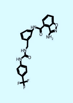 Nc1noc2cccc(C(=O)Nc3cccc(CNC(=O)Nc4ccc(C(F)(F)F)cc4)c3)c12